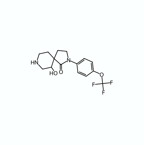 O=C1N(c2ccc(OC(F)(F)F)cc2)CCC12CCNCC2O